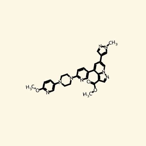 COC(=O)c1cnn2cc(-c3cnn(C)c3)cc(-c3ccc(N4CCN(c5ccc(OC)nc5)CC4)nc3)c12